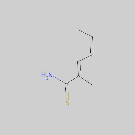 C/C=C\C=C(/C)C(N)=S